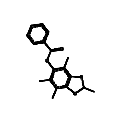 Cc1c(C)c2c(c(C)c1OC(=O)c1ccccc1)SC(C)O2